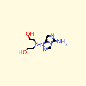 Nc1ncc2n(N(CCO)CCO)ncn12